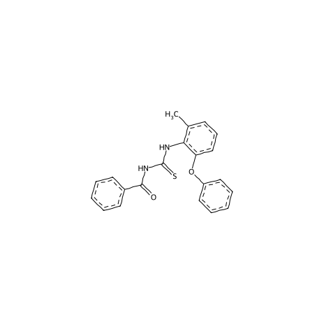 Cc1cccc(Oc2ccccc2)c1NC(=S)NC(=O)c1ccccc1